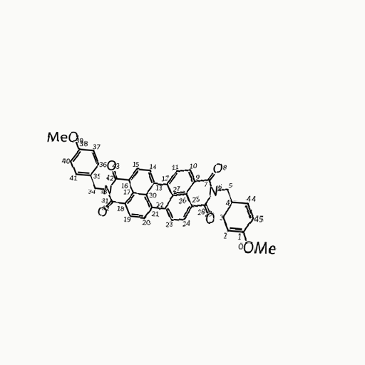 COC1=CCC(CN2C(=O)c3ccc4c5ccc6c7c(ccc(c8ccc(c3c48)C2=O)c75)C(=O)N(Cc2ccc(OC)cc2)C6=O)C=C1